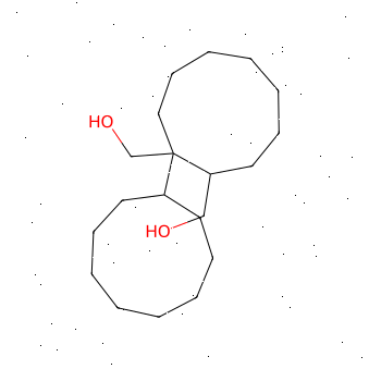 OCC1CCCCCCCC1(CO)C1CCCCCCCC1